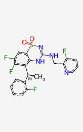 C[C@@H](c1ccccc1F)c1c(F)c(F)cc2c1NC(NCc1ncccc1F)=NS2(=O)=O